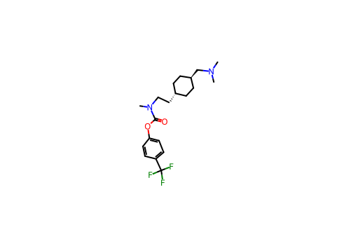 CN(C)C[C@H]1CC[C@H](CCN(C)C(=O)Oc2ccc(C(F)(F)F)cc2)CC1